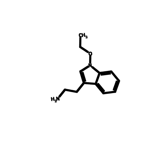 CCOn1cc(CCN)c2ccccc21